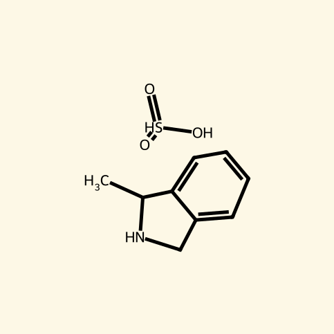 CC1NCc2ccccc21.O=[SH](=O)O